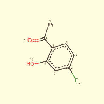 CC(C)C(=O)c1ccc(F)cc1O